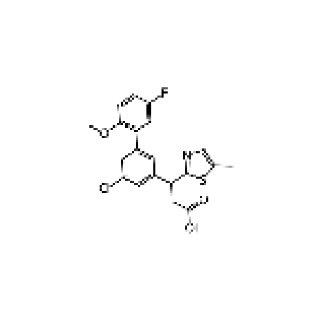 COc1ccc(F)cc1-c1cc(Cl)cc(C(CC(=O)O)c2ncc(C)s2)c1